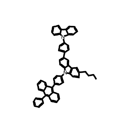 CCCCc1ccc2c(c1)c1cc(-c3ccc(-n4c5ccccc5c5ccccc54)cc3)ccc1n2-c1ccc(-c2c3ccccc3c(-c3ccccc3)c3ccccc23)cc1